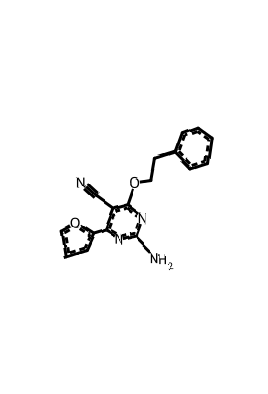 N#Cc1c(OCCc2ccccc2)nc(N)nc1-c1ccco1